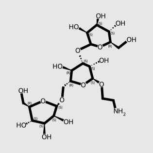 NCCO[C@H]1O[C@H](CO[C@H]2O[C@H](CO)[C@@H](O)[C@H](O)[C@@H]2O)[C@@H](O)[C@H](OC2O[C@H](CO)[C@@H](O)[C@H](O)[C@@H]2O)[C@@H]1O